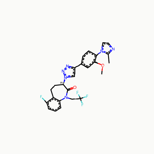 COc1cc(-c2cn([C@@H]3CCc4c(F)cccc4N(CC(F)(F)F)C3=O)nn2)ccc1-n1ccnc1C